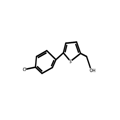 OCc1ccc(-c2ccc(Cl)cc2)s1